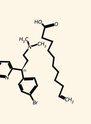 C=CCCCCCCCCC(=O)O.CN(C)CC[C@@H](c1ccc(Br)cc1)c1ccccn1